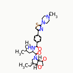 CC[C@H]1CN(C(=O)C(CC(C)C)NC(=O)c2ccc(-c3csc(N4CCN(C)CC4)n3)cc2)[C@@H]2C(=O)CO[C@H]12